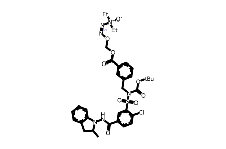 CC[N+]([O-])(CC)/N=N\OCOC(=O)c1cccc(CN(C(=O)OC(C)(C)C)S(=O)(=O)c2cc(C(=O)NN3c4ccccc4CC3C)ccc2Cl)c1